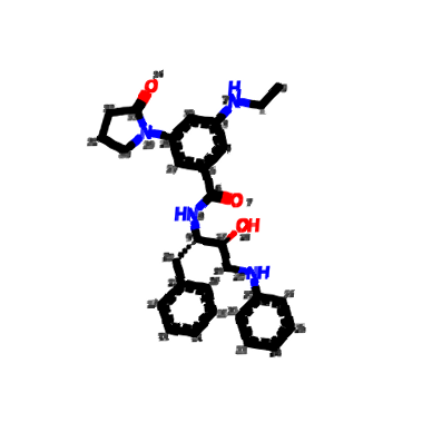 CCNc1cc(C(=O)N[C@@H](Cc2ccccc2)[C@@H](O)CNc2ccccc2)cc(N2CCCC2=O)c1